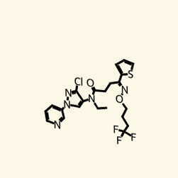 CCN(C(=O)CCC(=NOCCCC(F)(F)F)c1cccs1)c1cn(-c2cccnc2)nc1Cl